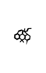 C=C1C2=C3C(F)=CCC2C(C)(C=CC)/C=C\c2cccc(c21)C3(C)C